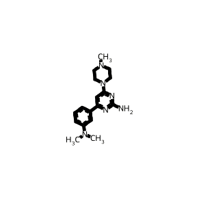 CN1CCN(c2cc(-c3cccc(N(C)C)c3)nc(N)n2)CC1